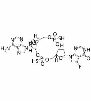 Nc1ncnc2c1ncn2[C@@H]1O[C@@H]2COP(=O)(S)O[C@H]3C[C@H](n4cc(F)c5c(=O)[nH]cnc54)O[C@@H]3COP(=O)(S)O[C@@H]1[C@@H]2O